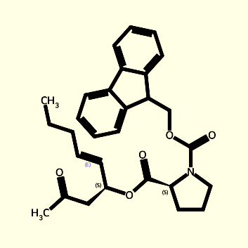 CCC/C=C/[C@H](CC(C)=O)OC(=O)[C@@H]1CCCN1C(=O)OCC1c2ccccc2-c2ccccc21